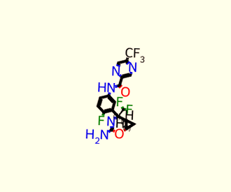 NC1=N[C@@](c2cc(NC(=O)c3cnc(C(F)(F)F)cn3)ccc2F)(C(F)F)[C@H]2C[C@H]2O1